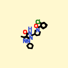 Cc1nn(C2CCCCC2)c2nc(C3CCCN(C(=O)c4ccccc4Cl)C3)[nH]c(=O)c12